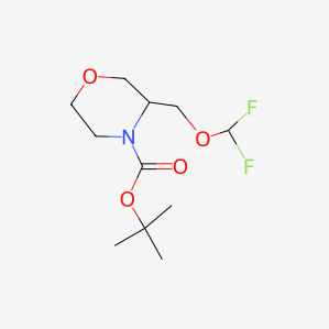 CC(C)(C)OC(=O)N1CCOCC1COC(F)F